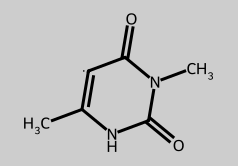 Cc1[c]c(=O)n(C)c(=O)[nH]1